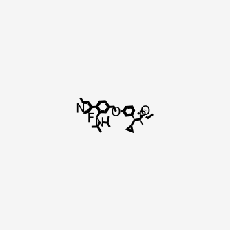 CCP(C)(=O)[C@@H](C)[C@H](c1cccc(OCc2ccc(-c3cc(C)ncc3F)c(CN(C(C)C)C(C)C)c2)c1)C1CC1